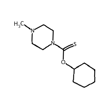 CN1CCN(C(=S)OC2CCCCC2)CC1